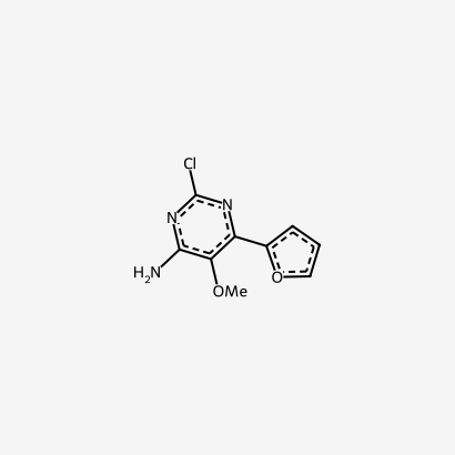 COc1c(N)nc(Cl)nc1-c1ccco1